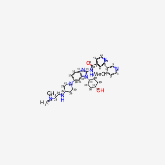 COc1ccncc1-c1cc(C(=O)Nc2nc3ccc(N4CCC(NCCN(C)C)CC4)cc3n2[C@H]2CC[C@@H](O)CC2)ccn1